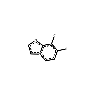 Clc1c(I)ccn2ccnc12